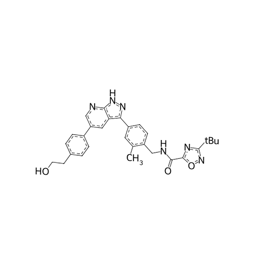 Cc1cc(-c2n[nH]c3ncc(-c4ccc(CCO)cc4)cc23)ccc1CNC(=O)c1nc(C(C)(C)C)no1